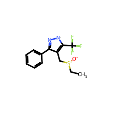 CC[S+]([O-])CC1=C(C(F)(F)F)[N]N=C1c1ccccc1